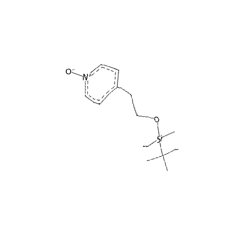 CC(C)(C)[Si](C)(C)OCCc1cc[n+]([O-])cc1